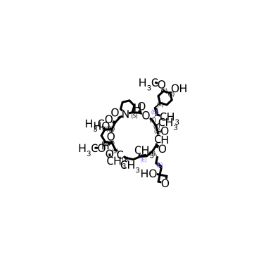 CO[C@H]1C[C@@H](C)C/C(C)=C/[C@@H](C/C=C/C2(O)COC2)C(=O)C[C@H](O)[C@@H](C)[C@@H](/C(C)=C/[C@@H]2CC[C@@H](O)[C@H](OC)C2)OC(=O)[C@@H]2CCCCN2C(=O)C(=O)[C@]2(O)O[C@H]1[C@@H](OC)C[C@H]2C